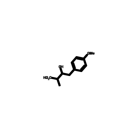 COc1ccc(CC(O)C(C)C(=O)O)cc1